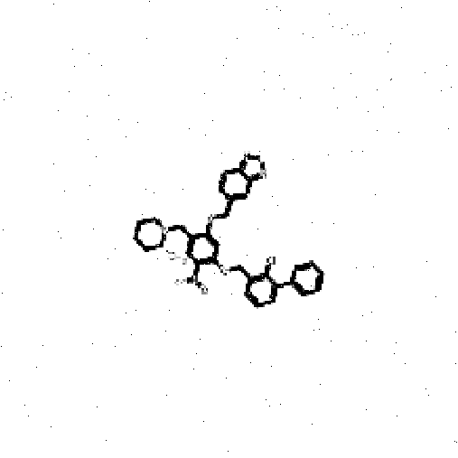 C[C@@H]1CCCCN1Cc1cc([N+](=O)[O-])c(OCc2cccc(-c3ccccc3)c2Cl)cc1OCc1ccc2nonc2c1